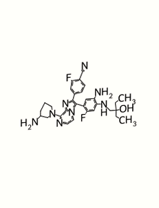 CCC(O)(CC)CNc1cc(F)c(-c2c(-c3ccc(C#N)c(F)c3)nc3c(N4CCCC(N)C4)nccn23)cc1N